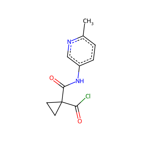 Cc1ccc(NC(=O)C2(C(=O)Cl)CC2)cn1